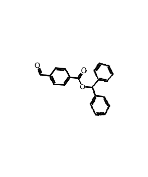 O=Cc1ccc(C(=O)OC(c2ccccc2)c2ccccc2)cc1